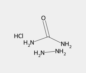 Cl.NC(N)=O.NN